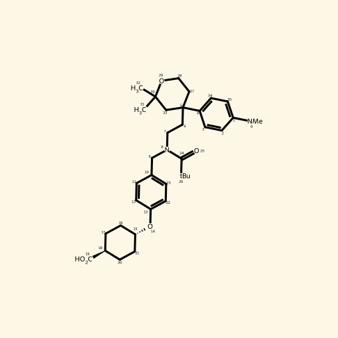 CNc1ccc(C2(CCN(Cc3ccc(O[C@H]4CC[C@H](C(=O)O)CC4)cc3)C(=O)C(C)(C)C)CCOC(C)(C)C2)cc1